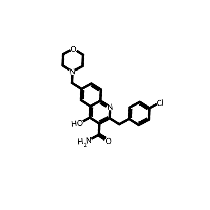 NC(=O)c1c(Cc2ccc(Cl)cc2)nc2ccc(CN3CCOCC3)cc2c1O